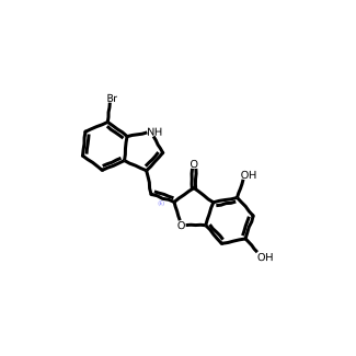 O=C1/C(=C\c2c[nH]c3c(Br)cccc23)Oc2cc(O)cc(O)c21